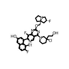 CCc1c(F)ccc2cc(O)cc(-c3ncc4c(N5CCCC(Cl)(CCO)C5)nc(OC[C@@]56CCCN5C[C@H](F)C6)nc4c3F)c12